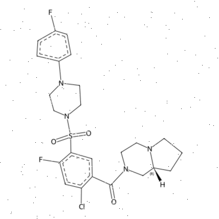 O=C(c1cc(S(=O)(=O)N2CCN(c3ccc(F)cc3)CC2)c(F)cc1Cl)N1CCN2CCC[C@@H]2C1